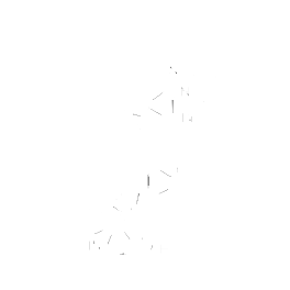 CCN(Cc1cc(C(=O)OCC2CCC(C(OC(=O)C(C)c3c[nH]c4ccc(OC)cc34)C(=O)c3ccc(Cl)cc3)CC2)cc(Br)c1N)C1CCCCC1